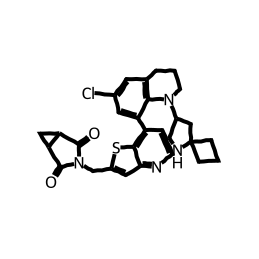 O=C1C2CC2C(=O)N1Cc1cc2nccc(-c3cc(Cl)cc4c3N(C3CNC5(CCC5)C3)CCC4)c2s1